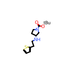 CC(C)(C)OC(=O)N1CC[C@@H](NCCc2cccs2)C1